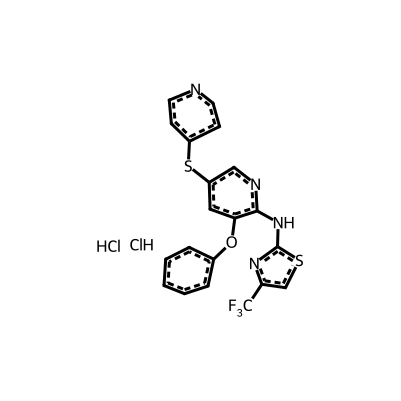 Cl.Cl.FC(F)(F)c1csc(Nc2ncc(Sc3ccncc3)cc2Oc2ccccc2)n1